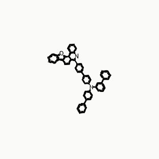 c1ccc(-c2ccc(N(c3ccc(-c4ccc(-c5nc6ccccc6c6c5ccc5c7ccccc7oc56)cc4)cc3)c3cccc(-c4ccccc4)c3)cc2)cc1